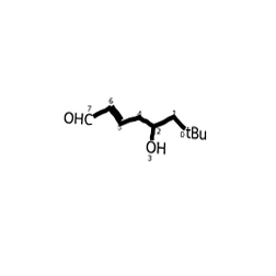 CC(C)(C)CC(O)C/C=C/C=O